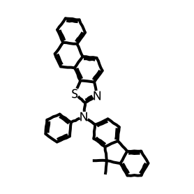 CC1(C)c2ccccc2-c2ccc(N(c3ccccc3)c3nc4ccc5c6ccccc6ccc5c4s3)cc21